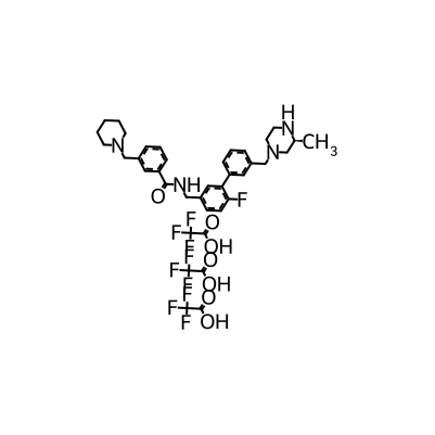 C[C@H]1CN(Cc2cccc(-c3cc(CNC(=O)c4cccc(CN5CCCCC5)c4)ccc3F)c2)CCN1.O=C(O)C(F)(F)F.O=C(O)C(F)(F)F.O=C(O)C(F)(F)F